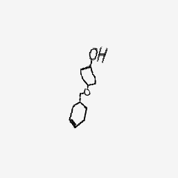 OC1CCC(OCC2CC=CCC2)CC1